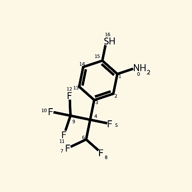 Nc1cc(C(F)(C(F)F)C(F)(F)F)ccc1S